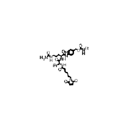 CCNC(=O)OCc1ccc(NC(=O)C(CCCNC(N)=O)NC(=O)C(NC(=O)CCCCCN2C(=O)C=CC2=O)C(C)C)cc1